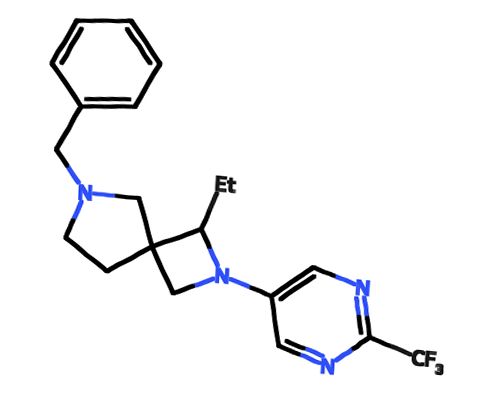 CCC1N(c2cnc(C(F)(F)F)nc2)CC12CCN(Cc1ccccc1)C2